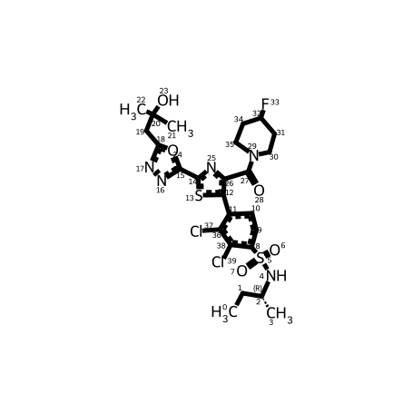 CC[C@@H](C)NS(=O)(=O)c1ccc(-c2sc(-c3nnc(CC(C)(C)O)o3)nc2C(=O)N2CCC(F)CC2)c(Cl)c1Cl